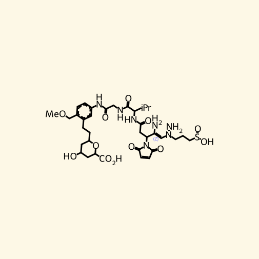 COCc1ccc(NC(=O)CNC(=O)C(NC(=O)CC(/C(N)=C/N(N)CCCS(=O)O)N2C(=O)C=CC2=O)C(C)C)cc1CCC1CC(O)CC(C(=O)O)O1